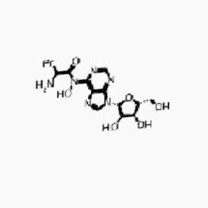 CC(C)C(N)C(=O)N(O)c1ncnc2c1ncn2[C@@H]1O[C@H](CO)[C@@H](O)[C@H]1O